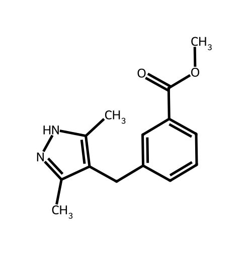 COC(=O)c1cccc(Cc2c(C)n[nH]c2C)c1